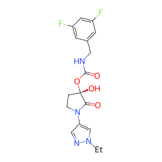 CCn1cc(N2CC[C@](O)(OC(=O)NCc3cc(F)cc(F)c3)C2=O)cn1